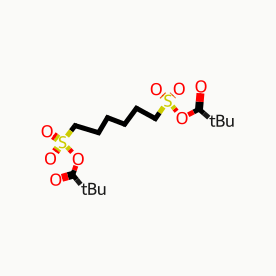 CC(C)(C)C(=O)OS(=O)(=O)CCCCCCS(=O)(=O)OC(=O)C(C)(C)C